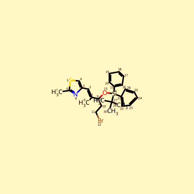 CC(=Cc1csc(C)n1)[C@H](CCBr)O[Si](c1ccccc1)(c1ccccc1)C(C)(C)C